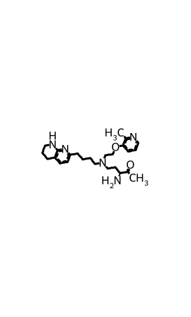 CC(=O)[C@@H](N)CCN(CCCCc1ccc2c(n1)NCCC2)CCOc1cccnc1C